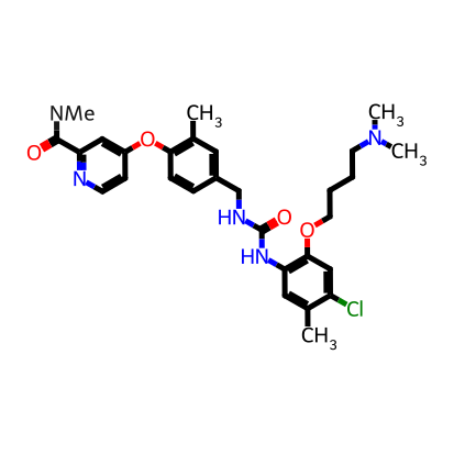 CNC(=O)c1cc(Oc2ccc(CNC(=O)Nc3cc(C)c(Cl)cc3OCCCCN(C)C)cc2C)ccn1